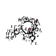 CC[C@H]1OC(=O)[C@H](C)[C@@H](O[C@H]2C[C@@](C)(OC)[C@@H](O)[C@H](C)O2)[C@H](C)[C@@H](OC2OC(C)CCC2[C@H](C[C@@H](C[C@@H]2CCSS2)N(C)C)C(=O)O)[C@](C)(O)C[C@@H](C)CN(C)[C@H](C)[C@@H](O)[C@]1(C)O